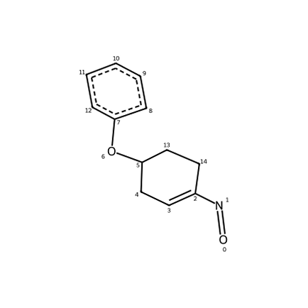 O=NC1=CCC(Oc2ccccc2)CC1